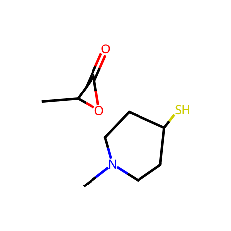 CC1OC1=O.CN1CCC(S)CC1